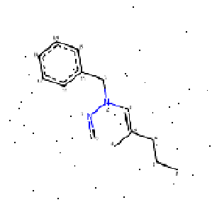 C=NN(/C=C(\C)CCC)Cc1ccccc1